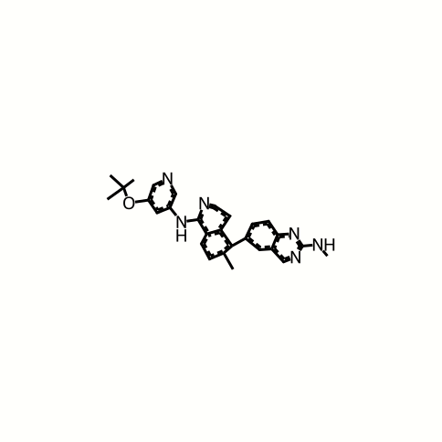 CNc1ncc2cc(-c3c(C)ccc4c(Nc5cncc(OC(C)(C)C)c5)nccc34)ccc2n1